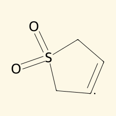 O=S1(=O)C[C]=CC1